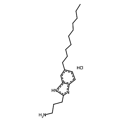 CCCCCCCCCCc1ccc2nc(CCCN)[nH]c2c1.Cl